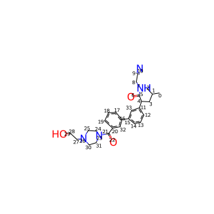 CC(C)CC(C(=O)NCC#N)c1cccc(-c2cccc(C(=O)N3CCN(CCO)CC3)c2)c1